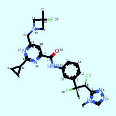 Cn1cnnc1[C@H](F)[C@](C)(F)c1cccc(NC(=O)c2cc(CN3CC(C)(F)C3)nc(C3CC3)n2)c1